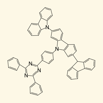 c1ccc(-c2nc(-c3ccccc3)nc(-c3ccc(-n4c5cc(C6c7ccccc7-c7ccccc76)ccc5c5ccc(-n6c7ccccc7c7ccccc76)cc54)cc3)n2)cc1